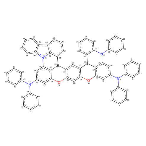 c1ccc(N(c2ccccc2)c2cc3c4c(c2)N(c2ccccc2)c2ccccc2B4c2cc4c(cc2O3)Oc2cc(N(c3ccccc3)c3ccccc3)cc3c2B4c2cccc4c5ccccc5n-3c24)cc1